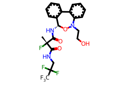 C[C@](F)(C(=O)NCC(F)(F)C(F)(F)F)C(=O)N[C@H]1ON(CCO)c2ccccc2-c2ccccc21